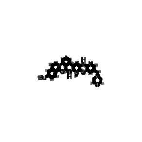 Cn1cc(-c2cccc(-n3ccc4cc(C(C)(C)C)ccc4c3=O)c2CO)cc(Nc2ccc(CN3CCOCC3)cn2)c1=O